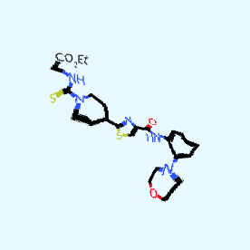 CCOC(=O)CNC(=S)N1CCC(c2nc(C(=O)Nc3ccccc3N3CCOCC3)cs2)CC1